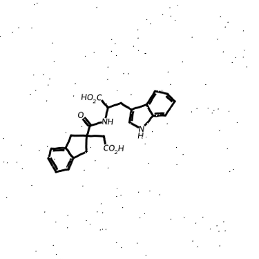 O=C(O)CC1(C(=O)NC(Cc2c[nH]c3ccccc23)C(=O)O)Cc2ccccc2C1